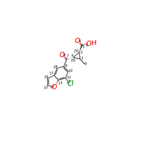 CC1[C@H](C(=O)O)[C@H]1C(=O)c1cc(Cl)c2occc2c1